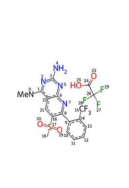 CNc1nc(N)nc2nc(-c3ccccc3C(F)(F)F)c(S(C)(=O)=O)cc12.O=C(O)C(F)(F)F